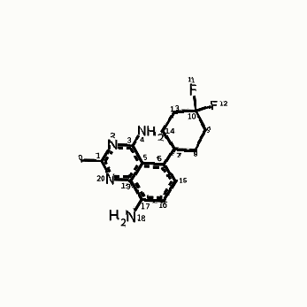 Cc1nc(N)c2c(C3CCC(F)(F)CC3)ccc(N)c2n1